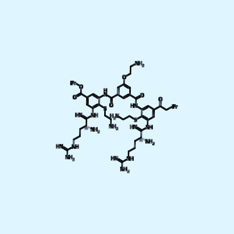 CC(C)CC(=O)c1cc(NC(=N)[C@H](N)CCCNC(=N)N)c(SCCN)c(NC(=O)c2cc(OCCN)cc(C(=O)Nc3cc(C(=O)OC(C)C)cc(NC(=N)[C@H](N)CCCNC(=N)N)c3SCCN)c2)c1